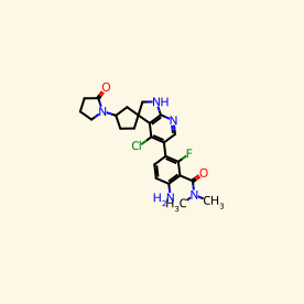 CN(C)C(=O)c1c(N)ccc(-c2cnc3c(c2Cl)C2(CCC(N4CCCC4=O)C2)CN3)c1F